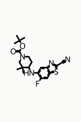 CC(C)(C)OC(=O)N1CCC(Nc2cc3nc(C#N)sc3cc2F)C(C)(C)C1